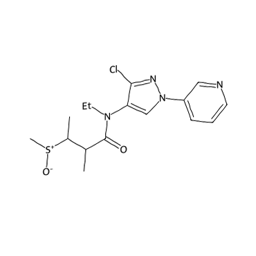 CCN(C(=O)C(C)C(C)[S+](C)[O-])c1cn(-c2cccnc2)nc1Cl